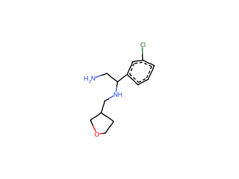 NCC(NCC1CCOC1)c1cccc(Cl)c1